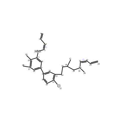 C=C/C=C\Nc1cc(-c2ccc(Cl)c(CCC(C)CN(C)/C=C\C=C)c2)cc(C)c1C